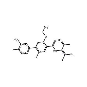 CC(=N)/C(NC(=O)c1cc(F)c(-c2cc(N)c(C)cn2)cc1OCC(F)(F)F)=C(\N)Cl